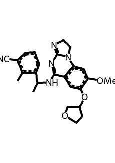 COc1cc2c(cc1OC1CCOC1)C(NC(C)c1cccc(C#N)c1C)=NC1=NCCN12